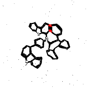 c1ccc(-c2c(N(c3ccc(-c4cccc5sc6ccccc6c45)cc3)c3cccc4c3sc3ccccc34)c3ccccc3c3ccccc23)cc1